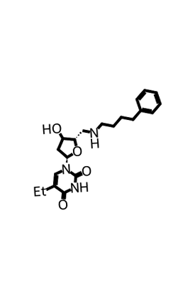 CCc1cn([C@@H]2CC(O)[C@H](CNCCCCc3ccccc3)O2)c(=O)[nH]c1=O